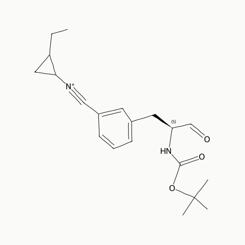 CCC1CC1[N+]#Cc1cccc(C[C@@H](C=O)NC(=O)OC(C)(C)C)c1